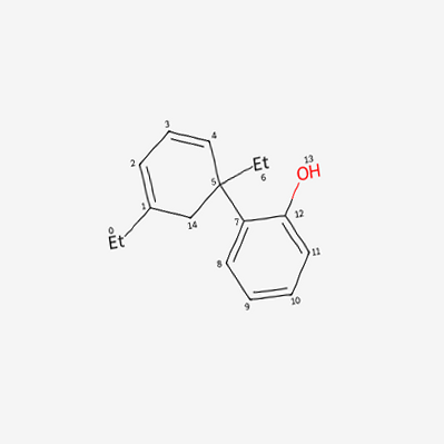 CCC1=CC=CC(CC)(c2ccccc2O)C1